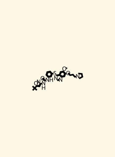 COc1cc2c(Sc3cccc(NC(=O)Nc4cc(C(C)(C)C)on4)c3)ncnc2cc1OCCCN1CCCC1